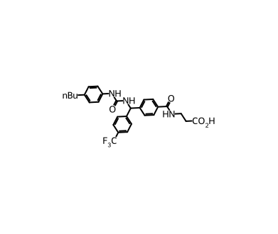 CCCCc1ccc(NC(=O)NC(c2ccc(C(=O)NCCC(=O)O)cc2)c2ccc(C(F)(F)F)cc2)cc1